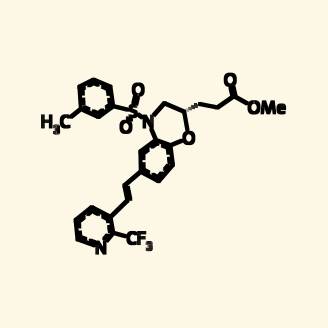 COC(=O)CC[C@H]1CN(S(=O)(=O)c2cccc(C)c2)c2cc(/C=C/c3cccnc3C(F)(F)F)ccc2O1